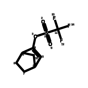 O=S(=O)(OC1=CC2CCC1C2)C(F)(F)F